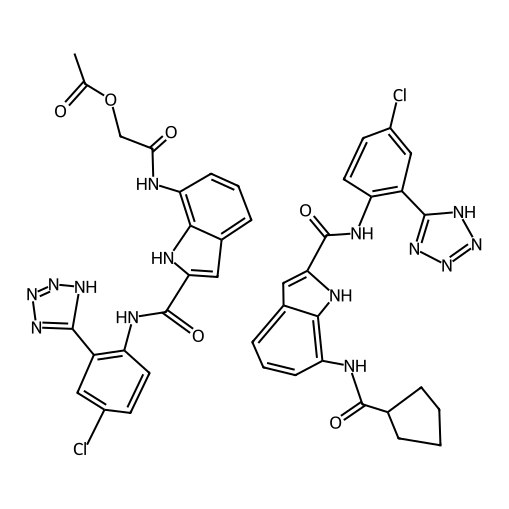 CC(=O)OCC(=O)Nc1cccc2cc(C(=O)Nc3ccc(Cl)cc3-c3nnn[nH]3)[nH]c12.O=C(Nc1ccc(Cl)cc1-c1nnn[nH]1)c1cc2cccc(NC(=O)C3CCCC3)c2[nH]1